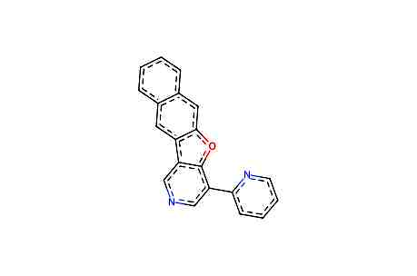 c1ccc(-c2cncc3c2oc2cc4ccccc4cc23)nc1